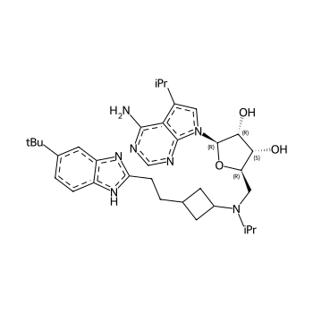 CC(C)c1cn([C@@H]2O[C@H](CN(C(C)C)C3CC(CCc4nc5cc(C(C)(C)C)ccc5[nH]4)C3)[C@@H](O)[C@H]2O)c2ncnc(N)c12